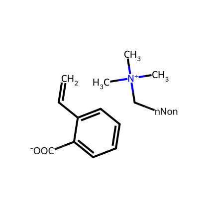 C=Cc1ccccc1C(=O)[O-].CCCCCCCCCC[N+](C)(C)C